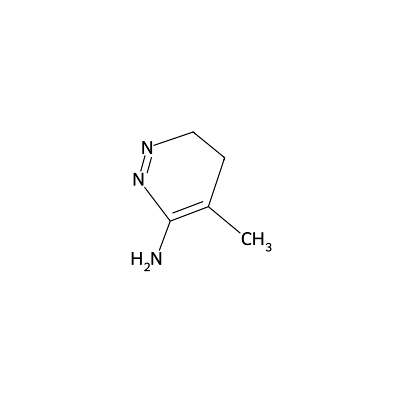 CC1=C(N)N=NCC1